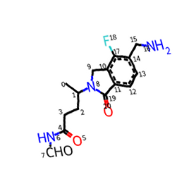 CC(CCC(=O)NC=O)N1Cc2c(ccc(CN)c2F)C1=O